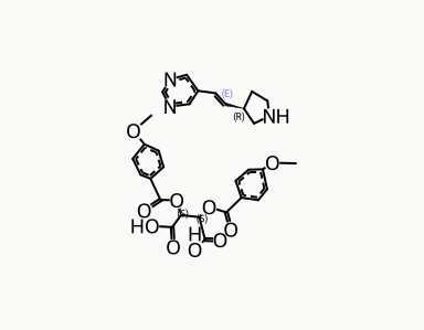 C(=C\[C@H]1CCNC1)/c1cncnc1.COc1ccc(C(=O)O[C@H](C(=O)O)[C@H](OC(=O)c2ccc(OC)cc2)C(=O)O)cc1